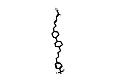 N#CC(F)=CC=CCCC1CCC(C2CCC(CCCCc3ccc(C(F)(F)F)cc3)CC2)CC1